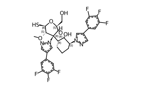 CO[C@@H]1[C@@H](S)O[C@@H](CO)[C@@H](O)[C@@]1([C@H]1CCC[C@H](n2cc(-c3cc(F)c(F)c(F)c3)cn2)[C@@H]1O)n1cc(-c2cc(F)c(F)c(F)c2)cn1